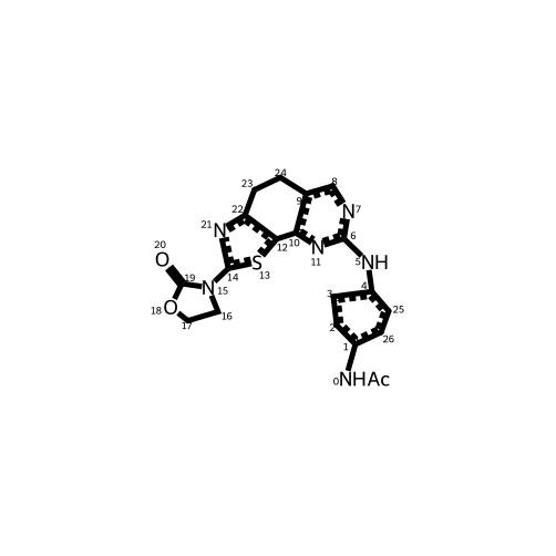 CC(=O)Nc1ccc(Nc2ncc3c(n2)-c2sc(N4CCOC4=O)nc2CC3)cc1